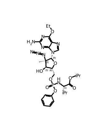 CCOc1nc(N)nc2c1ncn2[C@@H]1O[C@H](COP(=O)(N[C@H](C(=O)OC(C)C)C(C)C)Oc2ccccc2)[C@@H](O)[C@@]1(C)N=[N+]=[N-]